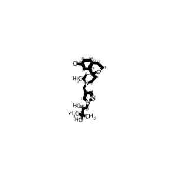 C[C@H]1C[C@@]2(CCN1Cc1cnn(C[C@@H](O)C(C)(C)O)c1)OCCc1ccc(Cl)cc12